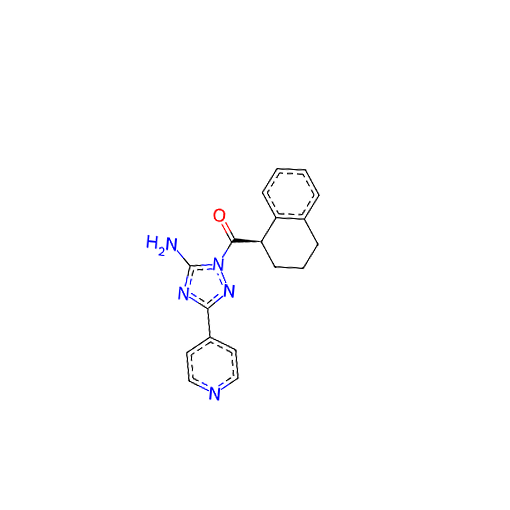 Nc1nc(-c2ccncc2)nn1C(=O)[C@@H]1CCCc2ccccc21